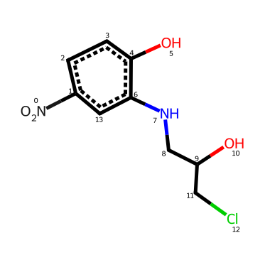 O=[N+]([O-])c1ccc(O)c(NCC(O)CCl)c1